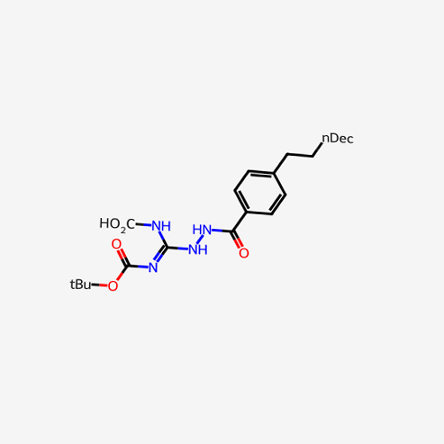 CCCCCCCCCCCCc1ccc(C(=O)NN/C(=N/C(=O)OC(C)(C)C)NC(=O)O)cc1